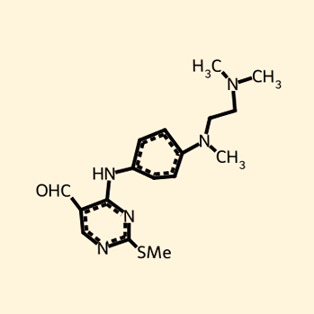 CSc1ncc(C=O)c(Nc2ccc(N(C)CCN(C)C)cc2)n1